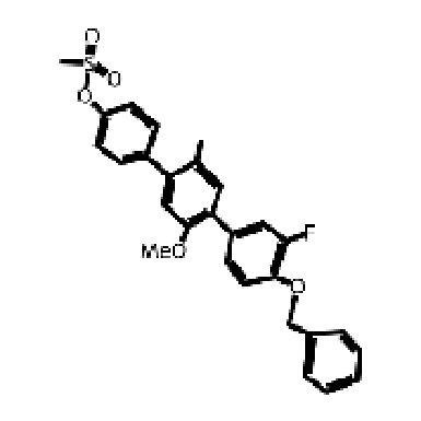 COc1cc(-c2ccc(OS(C)(=O)=O)cc2)c(C)cc1-c1ccc(OCc2ccccc2)c(F)c1